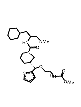 CNC[C@H](CC1CCCCC1)NC(=O)N1CCC[C@@H](C(OCCNC(=O)OC)c2cccs2)C1